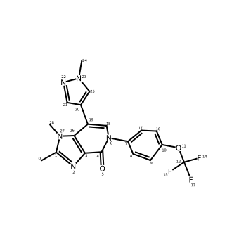 Cc1nc2c(=O)n(-c3ccc(OC(F)(F)F)cc3)cc(-c3cnn(C)c3)c2n1C